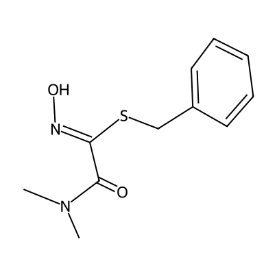 CN(C)C(=O)/C(=N/O)SCc1ccccc1